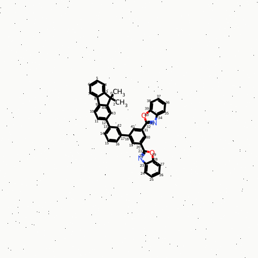 CC1(C)c2ccccc2-c2ccc(-c3cccc(-c4cc(-c5nc6ccccc6o5)cc(-c5nc6ccccc6o5)c4)c3)cc21